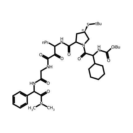 CCCC(NC(=O)C1C[C@@H](SC(C)(C)C)CN1C(=O)C(NC(=O)OCC(C)C)C1CCCCC1)C(=O)C(=O)NCC(=O)NC(C(=O)N(C)C)c1ccccc1